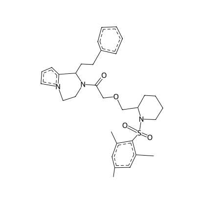 Cc1cc(C)c(S(=O)(=O)N2CCCCC2COCC(=O)N2CCn3cccc3C2CCc2ccccc2)c(C)c1